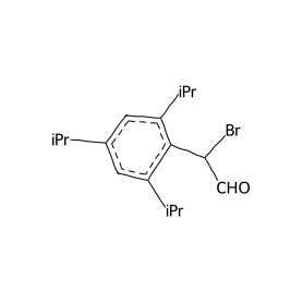 CC(C)c1cc(C(C)C)c(C(Br)C=O)c(C(C)C)c1